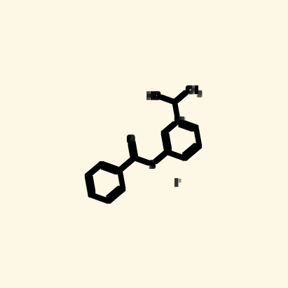 CC(O)[n+]1cccc(SC(=O)c2ccccc2)c1.[I-]